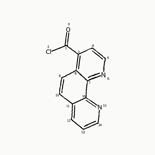 O=C(Cl)c1ccnc2c1ccc1cccnc12